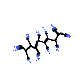 N#CC(/C(C#N)=C(\C#N)C(C#N)C(C#N)C#N)=C(/C#N)C(C#N)C(C#N)C#N